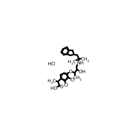 CC(C(=O)O)c1ccc(OC(C)C(O)CNC(C)(C)CC2Cc3ccccc3C2)c(Cl)c1Cl.Cl